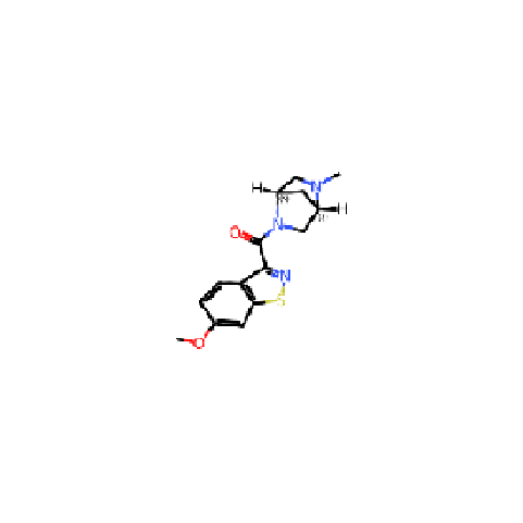 COc1ccc2c(C(=O)N3C[C@@H]4C[C@H]3CN4C)nsc2c1